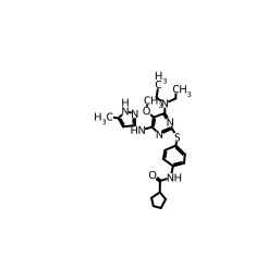 CCN(CC)c1nc(Sc2ccc(NC(=O)C3CCCC3)cc2)nc(Nc2cc(C)[nH]n2)c1OC